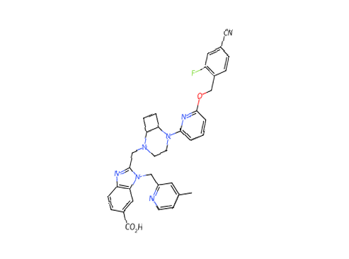 Cc1ccnc(Cn2c(CN3CCN(c4cccc(OCc5ccc(C#N)cc5F)n4)C4CCC43)nc3ccc(C(=O)O)cc32)c1